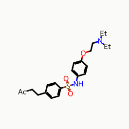 CCN(CC)CCOc1ccc(NS(=O)(=O)c2ccc(CCC(C)=O)cc2)cc1